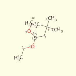 CCO[SiH](CC(C)(C)C)OC